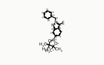 CC1(C)OB(c2ccc3c(F)n(Cc4ccccc4)nc3c2)OC1(C)C